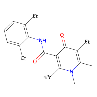 CCCc1c(C(=O)Nc2c(CC)cccc2CC)c(=O)c(CC)c(C)n1C